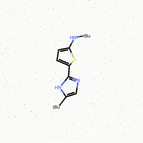 CC(C)(C)Nc1ccc(-c2ncc(C(C)(C)C)[nH]2)s1